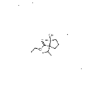 CCOC(=O)C1(C(C)C)CCCC1(C)O